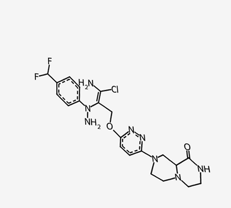 N/C(Cl)=C(/COc1ccc(N2CCN3CCNC(=O)C3C2)nn1)N(N)c1ccc(C(F)F)cc1